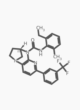 CCc1cccc(C)c1NC(=O)N1c2nc(-c3cccc(C(F)(F)F)c3)ccc2N2CC[C@H]1C2